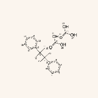 CC(C)(c1ccccc1)C(C)(C)c1ccccc1.O=C(O)O.O=C(O)O